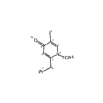 Cc1cn(O)c(CC(C)C)cc1=O